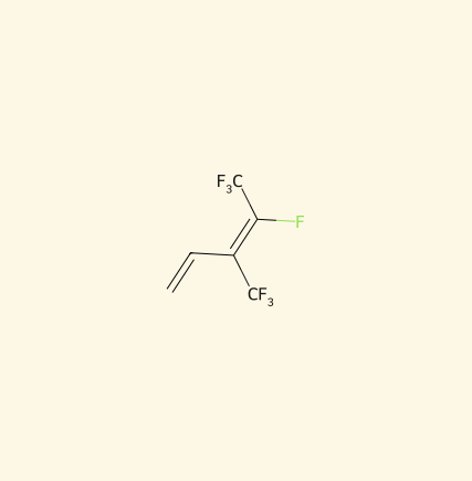 C=CC(=C(F)C(F)(F)F)C(F)(F)F